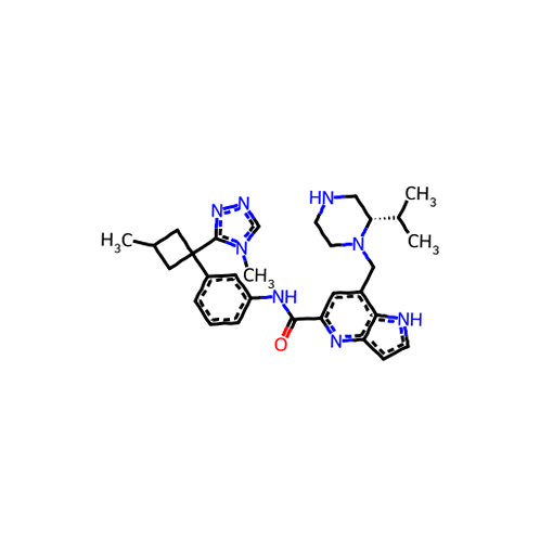 CC1CC(c2cccc(NC(=O)c3cc(CN4CCNC[C@@H]4C(C)C)c4[nH]ccc4n3)c2)(c2nncn2C)C1